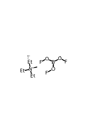 CC[N+](C)(CC)CC.FOB(OF)OF.[I-]